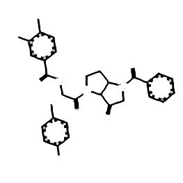 Cc1ccc(C(=O)N[C@@H](Cc2ccc(O)cc2)C(=O)N2CCC3C2C(=O)CN3C(=O)c2ccccc2)cc1Br